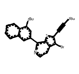 CC(C)(C)C#Cc1sc2c(-c3cc(C(C)(C)C)c4ccccc4c3)nccc2c1Br